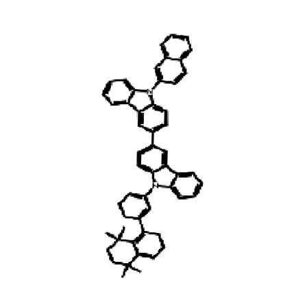 CC1(C)CCC(C)(C)C2=C(C3=CC(n4c5ccccc5c5cc(-c6ccc7c(c6)c6ccccc6n7-c6ccc7ccccc7c6)ccc54)=CCC3)CCC=C21